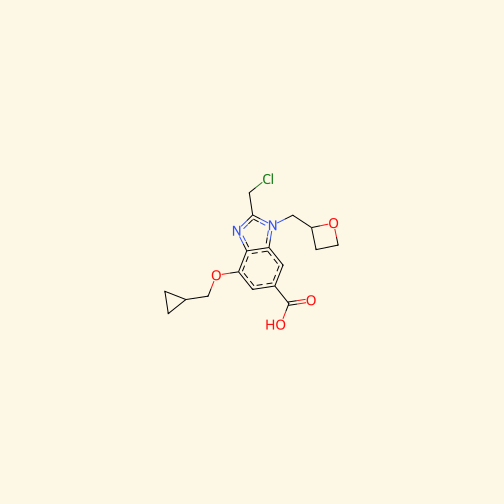 O=C(O)c1cc(OCC2CC2)c2nc(CCl)n(CC3CCO3)c2c1